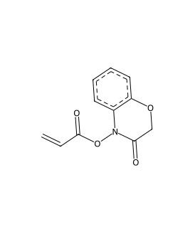 C=CC(=O)ON1C(=O)COc2ccccc21